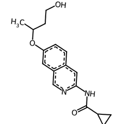 CC(CCO)Oc1ccc2cc(NC(=O)C3CC3)ncc2c1